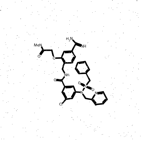 CNC(=O)COc1cc(C(=N)N)ccc1CNC(=O)c1cc(Cl)cc(N(Cc2ccccn2)S(=O)(=O)Cc2ccccc2)c1